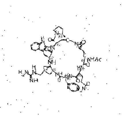 CC(=O)N[C@H]1CCC(=O)NCCC[C@@H](C(=O)N2CCC[C@H]2C)NC(=O)[C@H](Cc2c[nH]c3ccccc23)NC(=O)[C@H](CCCNC(=N)N)NC(=O)[C@@H](Cc2ccccc2)NC(=O)[C@H](CCC(N)=O)NC1=O